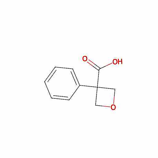 O=C(O)C1(c2ccccc2)COC1